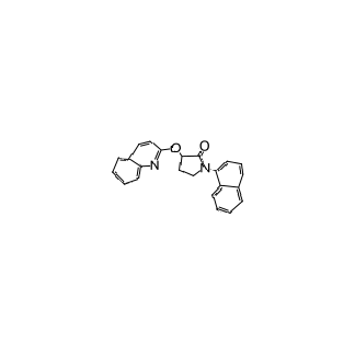 O=C1C(Oc2ccc3ccccc3n2)CCN1c1cccc2ccccc12